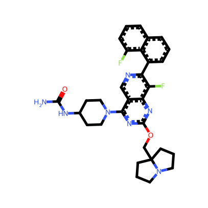 NC(=O)NC1CCN(c2nc(OCC34CCCN3CCC4)nc3c(F)c(-c4cccc5cccc(F)c45)ncc23)CC1